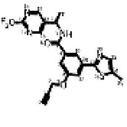 C#CCOc1cc(C(=O)NC(C)c2cnc(C(F)(F)F)nc2)cc(-c2ncc(C)s2)c1